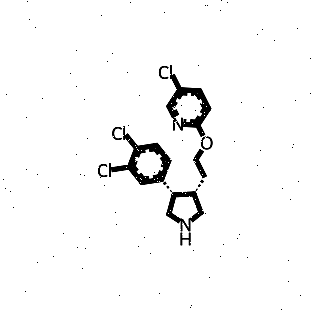 Clc1ccc(OCC[C@@H]2CNC[C@@H]2c2ccc(Cl)c(Cl)c2)nc1